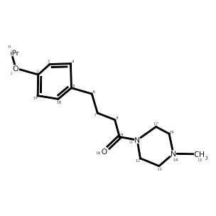 CC(C)Oc1ccc(CCCC(=O)N2CCN(C)CC2)cc1